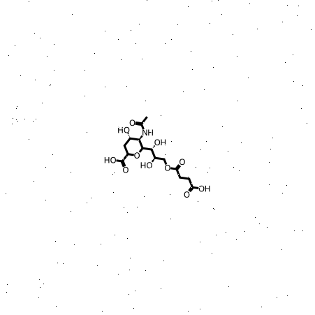 CC(=O)N[C@H]1C([C@H](O)[C@H](O)COC(=O)CCC(=O)O)OC(C(=O)O)C[C@@H]1O